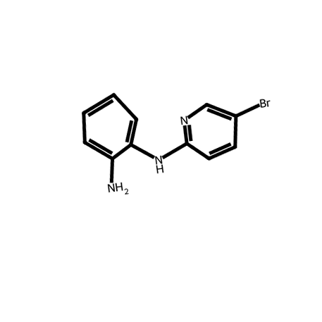 Nc1ccccc1Nc1ccc(Br)cn1